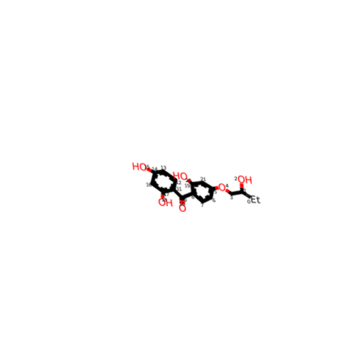 CCC(O)COc1ccc(C(=O)c2ccc(O)cc2O)c(O)c1